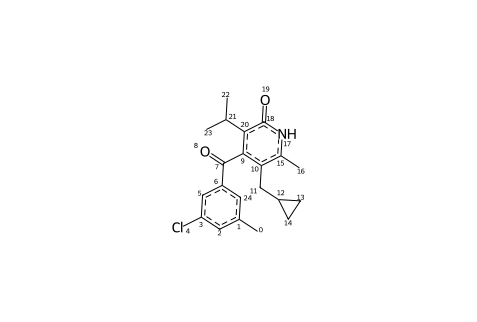 Cc1cc(Cl)cc(C(=O)c2c(CC3CC3)c(C)[nH]c(=O)c2C(C)C)c1